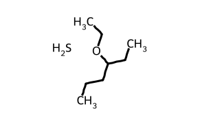 CCCC(CC)OCC.S